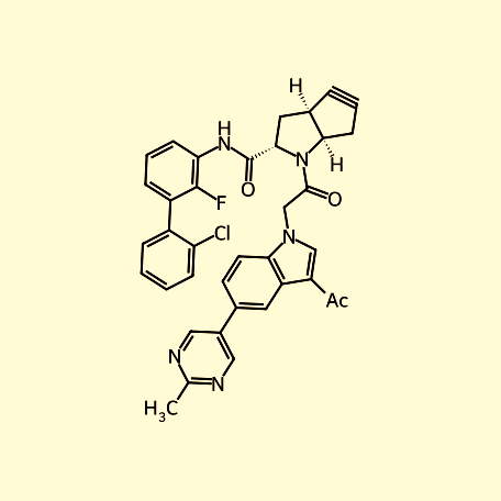 CC(=O)c1cn(CC(=O)N2[C@@H]3CC#C[C@@H]3C[C@H]2C(=O)Nc2cccc(-c3ccccc3Cl)c2F)c2ccc(-c3cnc(C)nc3)cc12